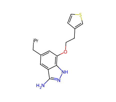 CC(C)Cc1cc(OCCc2ccsc2)c2[nH]nc(N)c2c1